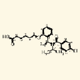 [2H]C(c1ccccc1OCCCCCC(=O)O)N(C(=O)c1ccc(Cl)cc1)C(C)C